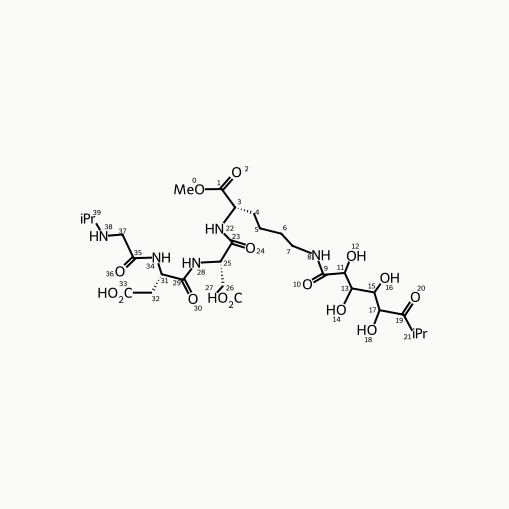 COC(=O)[C@H](CCCCNC(=O)C(O)C(O)C(O)C(O)C(=O)C(C)C)NC(=O)[C@H](CC(=O)O)NC(=O)[C@H](CC(=O)O)NC(=O)CNC(C)C